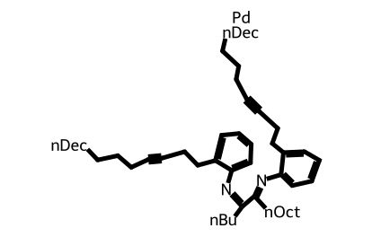 CCCCCCCCCCCCCC#CCCc1ccccc1N=C(CCCC)C(CCCCCCCC)=Nc1ccccc1CCC#CCCCCCCCCCCCCC.[Pd]